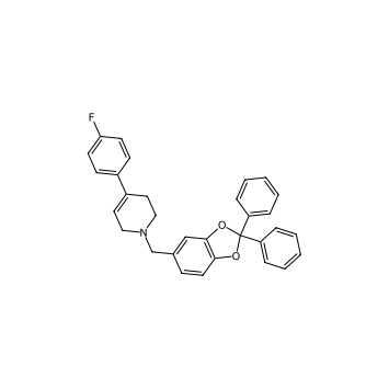 Fc1ccc(C2=CCN(Cc3ccc4c(c3)OC(c3ccccc3)(c3ccccc3)O4)CC2)cc1